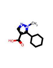 Cn1ncc(C(=O)O)c1C1CCCCC1